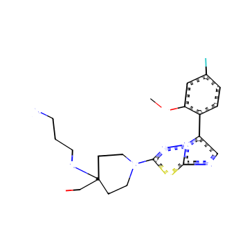 COc1cc(F)ccc1-c1cnc2sc(N3CCC(CO)(NCCCN)CC3)nn12